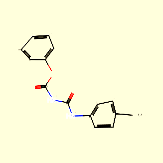 COc1ccc(NC(=O)NC(=O)Oc2ccccc2)cc1